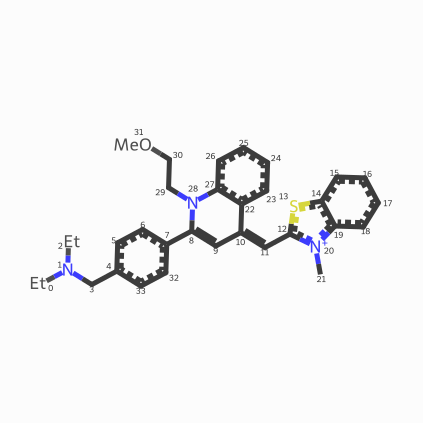 CCN(CC)Cc1ccc(C2=C/C(=C/c3sc4ccccc4[n+]3C)c3ccccc3N2CCOC)cc1